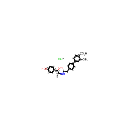 CC(C)COc1cc(-c2ccc(CCN[C@@H](C)[C@H](O)c3ccc(O)cc3)cc2)ccc1C(=O)O.Cl